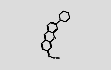 CCCCCC/N=c1/ccc2cc3ccc(N4CCCCC4)cc3oc-2c1